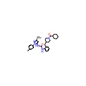 Cc1ccc(-n2nc(C(C)(C)C)cc2NC(=O)Nc2ccccc2CC2CCN(C(=O)C3CCCCC3)CC2)cc1